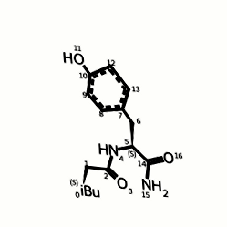 CC[C@H](C)CC(=O)N[C@@H](Cc1ccc(O)cc1)C(N)=O